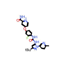 Cc1ccc(-n2nc(C(C)(C)C)cc2NC(=O)Nc2ccc(Oc3ccnc(C(N)=O)c3)cc2F)cn1